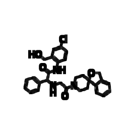 O=C(Nc1ccc(Cl)cc1CO)C(NCC(=O)N1CCC2(CC1)OCc1ccccc12)c1ccccc1